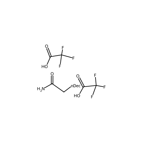 CCCCCCCCCCCC(N)=O.O=C(O)C(F)(F)F.O=C(O)C(F)(F)F